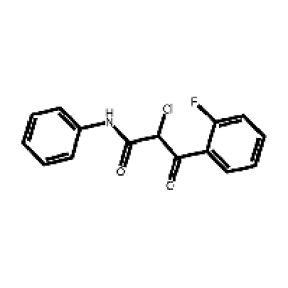 O=C(Nc1ccccc1)C(Cl)C(=O)c1ccccc1F